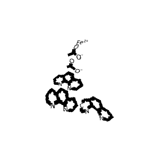 CC(=O)[O-].CC(=O)[O-].[Fe+2].c1cnc2c(c1)ccc1cccnc12.c1cnc2c(c1)ccc1cccnc12.c1cnc2c(c1)ccc1cccnc12